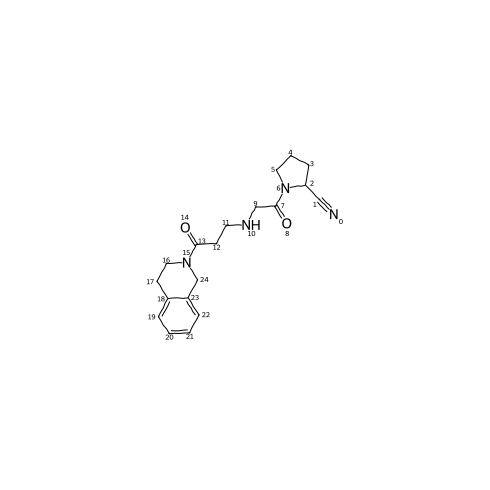 N#CC1CCCN1C(=O)CNCCC(=O)N1CCc2ccccc2C1